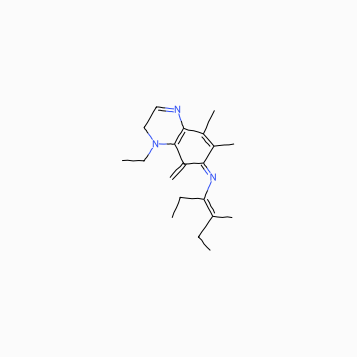 C=C1C2=C(N=CCN2CC)C(C)=C(C)/C1=N/C(CC)=C(\C)CC